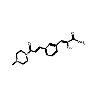 CN1CCN(C(=O)/C=C/c2cccc(C=C(O)C(N)=O)c2)CC1